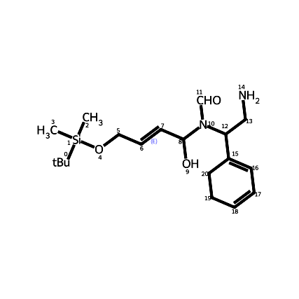 CC(C)(C)[Si](C)(C)OC/C=C/C(O)N(C=O)C(CN)C1=CC=CCC1